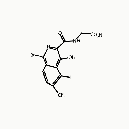 O=C(O)CNC(=O)c1nc(Br)c2ccc(C(F)(F)F)c(I)c2c1O